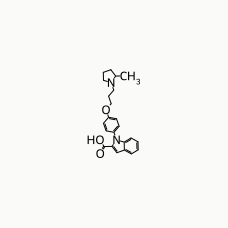 CC1CCCN1CCCOc1ccc(-n2c(C(=O)O)cc3ccccc32)cc1